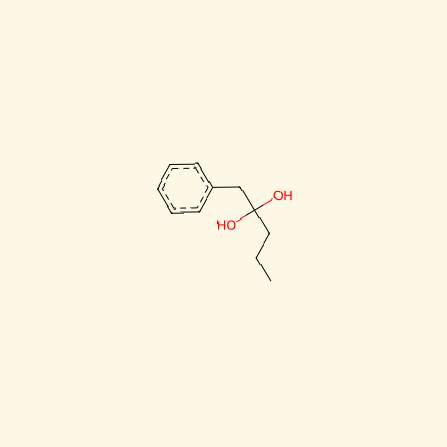 CCCC(O)(O)Cc1ccccc1